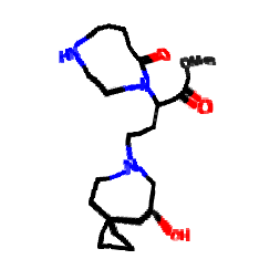 COC(=O)C(CCN1CCC2(CC2)[C@H](O)C1)N1CCNCCC1=O